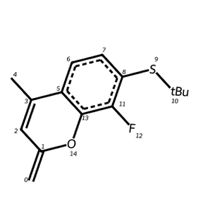 C=C1C=C(C)c2ccc(SC(C)(C)C)c(F)c2O1